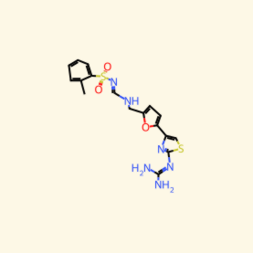 Cc1ccccc1S(=O)(=O)N=CNCc1ccc(-c2csc(N=C(N)N)n2)o1